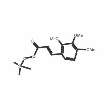 COc1ccc(C=CC(=O)OO[Si](C)(C)C)c(OC)c1OC